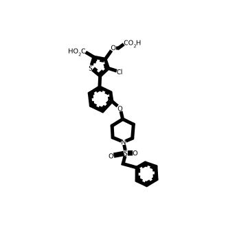 O=C(O)COc1c(C(=O)O)sc(-c2cccc(OC3CCN(S(=O)(=O)Cc4ccccc4)CC3)c2)c1Cl